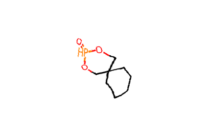 O=[PH]1OCC2(CCCCC2)CO1